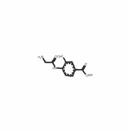 COC(=O)c1ccc(NC(=O)CN)c(C=O)c1